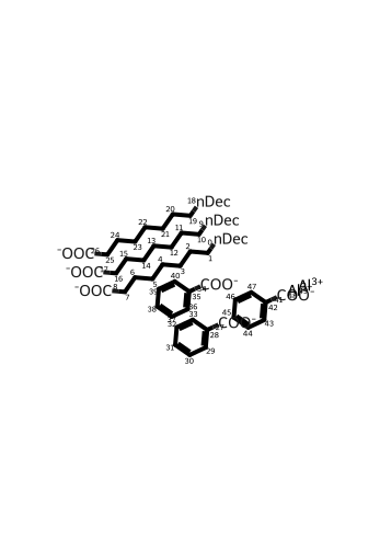 CCCCCCCCCCCCCCCCCC(=O)[O-].CCCCCCCCCCCCCCCCCC(=O)[O-].CCCCCCCCCCCCCCCCCC(=O)[O-].O=C([O-])c1ccccc1.O=C([O-])c1ccccc1.O=C([O-])c1ccccc1.[Al+3].[Al+3]